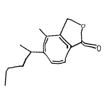 CCCC(C)c1ccc2c(c1C)COC2=O